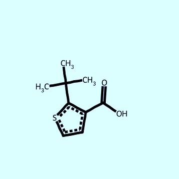 CC(C)(C)c1sccc1C(=O)O